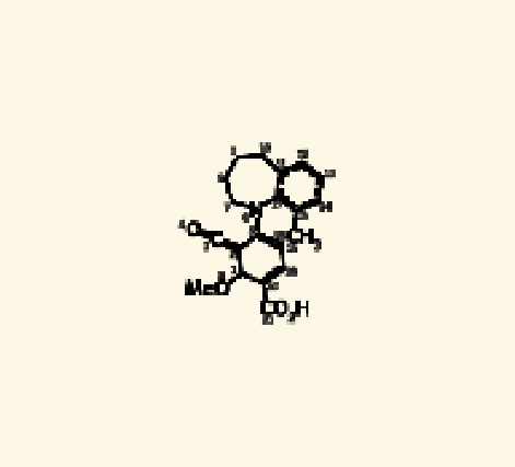 COC1C(=C=O)C(N2CCCCc3cccc(C)c32)=CC=C1C(=O)O